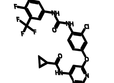 O=C(Nc1ccc(F)c(C(F)(F)F)c1)Nc1ccc(Oc2cc(NC(=O)C3CC3)ncn2)cc1Cl